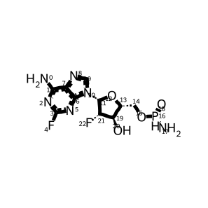 Nc1nc(F)nc2c1ncn2[C@@H]1O[C@H](CO[PH](N)=O)[C@@H](O)[C@@H]1F